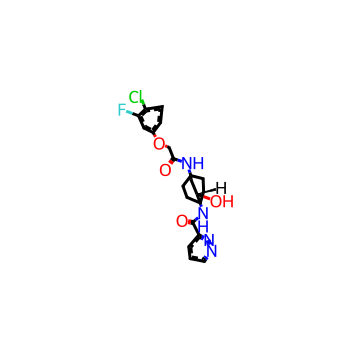 O=C(COc1ccc(Cl)c(F)c1)NC12CCC(NC(=O)c3cccnn3)(CC1)[C@@H](O)C2